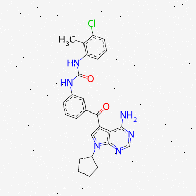 Cc1c(Cl)cccc1NC(=O)Nc1cccc(C(=O)c2cn(C3CCCC3)c3ncnc(N)c23)c1